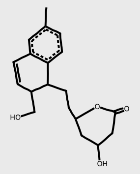 Cc1ccc2c(c1)C=CC(CO)C2CCC1CC(O)CC(=O)O1